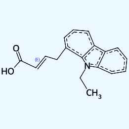 CCn1c2ccccc2c2cccc(C/C=C/C(=O)O)c21